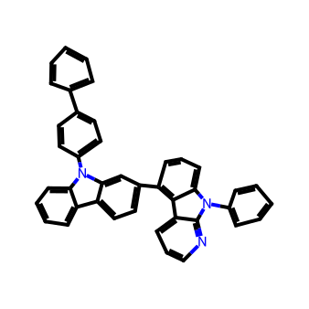 c1ccc(-c2ccc(-n3c4ccccc4c4ccc(-c5cccc6c5c5cccnc5n6-c5ccccc5)cc43)cc2)cc1